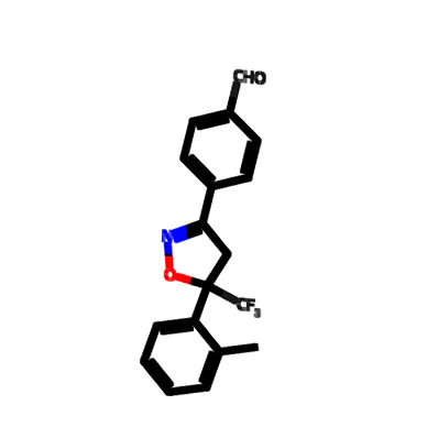 Cc1ccccc1C1(C(F)(F)F)CC(c2ccc(C=O)cc2)=NO1